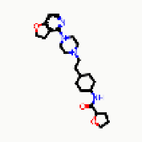 O=C(NC1CCC(CCN2CCN(c3nccc4c3CCO4)CC2)CC1)C1CCCO1